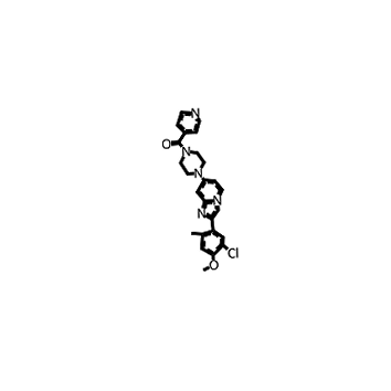 COc1cc(C)c(-c2cn3ccc(N4CCN(C(=O)c5ccncc5)CC4)cc3n2)cc1Cl